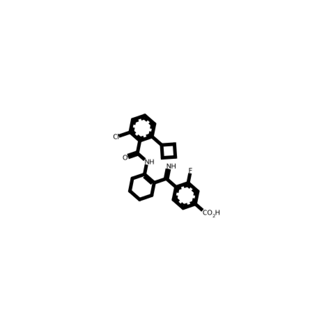 N=C(C1=C(NC(=O)c2c(Cl)cccc2C2CCC2)CCCC1)c1ccc(C(=O)O)cc1F